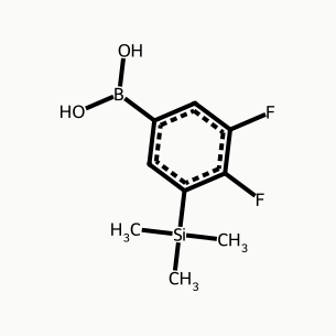 C[Si](C)(C)c1cc(B(O)O)cc(F)c1F